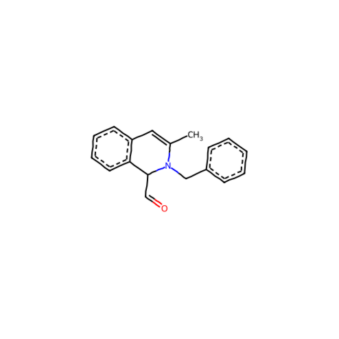 CC1=Cc2ccccc2C(C=O)N1Cc1ccccc1